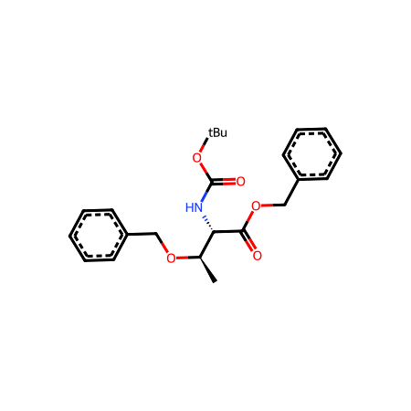 C[C@@H](OCc1ccccc1)[C@H](NC(=O)OC(C)(C)C)C(=O)OCc1ccccc1